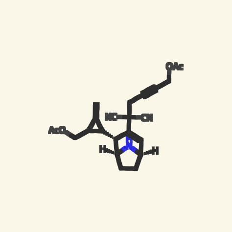 C=C1C(COC(C)=O)C1[C@@H]1C(C(C#N)(C#N)CC#CCOC(C)=O)=C[C@H]2CC[C@@H]1N2